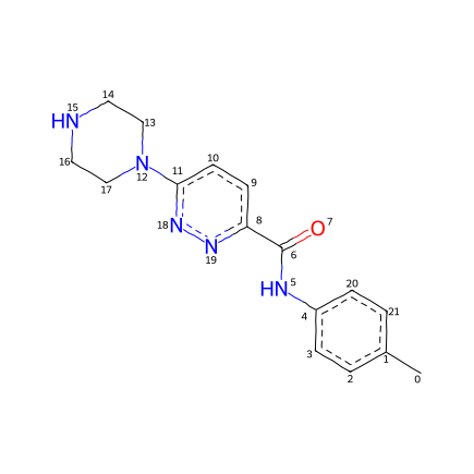 Cc1ccc(NC(=O)c2ccc(N3CCNCC3)nn2)cc1